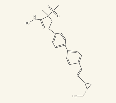 CC(CCc1ccc(-c2ccc(/C=C/[C@H]3C[C@@H]3CO)cc2)cc1)(C(=O)NO)S(C)(=O)=O